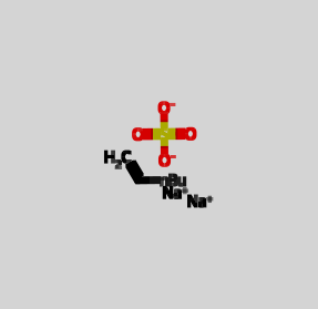 C=CCCCC.O=S(=O)([O-])[O-].[Na+].[Na+]